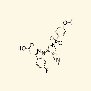 CN=C[C@@H]1CN(S(=O)(=O)c2ccc(OC(C)C)cc2)C[C@@H]1n1nc(CC(=O)O)c2ccc(F)cc21